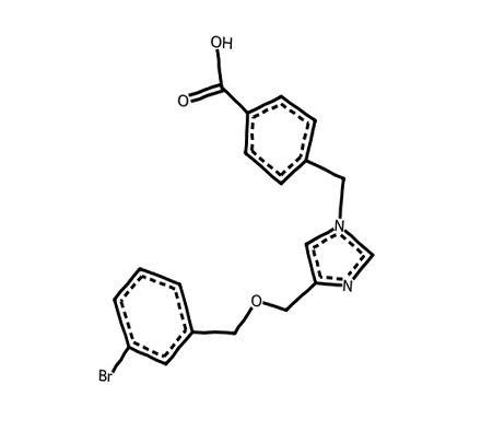 O=C(O)c1ccc(Cn2cnc(COCc3cccc(Br)c3)c2)cc1